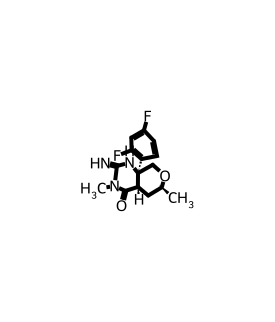 C[C@H]1C[C@H]2C(=O)N(C)C(=N)N[C@@]2(c2ccc(F)cc2F)CO1